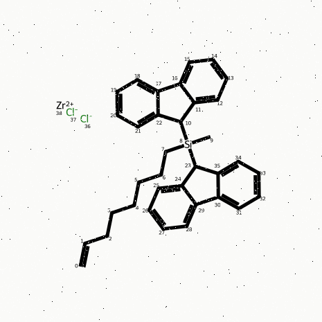 C=CCCCCCC[Si](C)(C1c2ccccc2-c2ccccc21)C1c2ccccc2-c2ccccc21.[Cl-].[Cl-].[Zr+2]